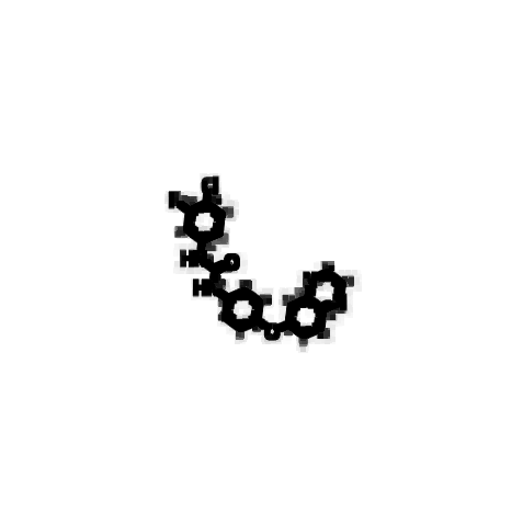 O=C(Nc1ccc(Oc2ccc3nccnc3c2)cc1)Nc1ccc(Cl)c(F)c1